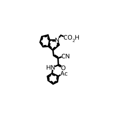 CC(=O)c1ccccc1NC(=O)/C(C#N)=C/c1cn(CC(=O)O)c2ccccc12